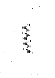 BBBBBBBBBBP